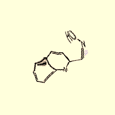 O/N=C\C1C=Cc2ccccc2[N]1